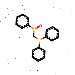 O=[PH](CP(c1ccccc1)c1ccccc1)c1ccccc1